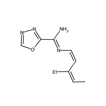 C\C=C(/C=C\N=C(/N)c1nnco1)CC